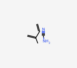 C=CC(=C)C.N#CN